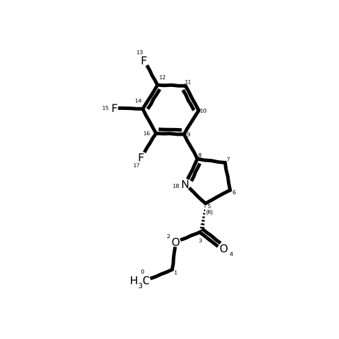 CCOC(=O)[C@H]1CCC(c2ccc(F)c(F)c2F)=N1